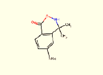 CNc1ccc2c(c1)C(C)(C)NOC2=O